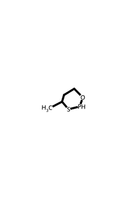 CC1CCOPS1